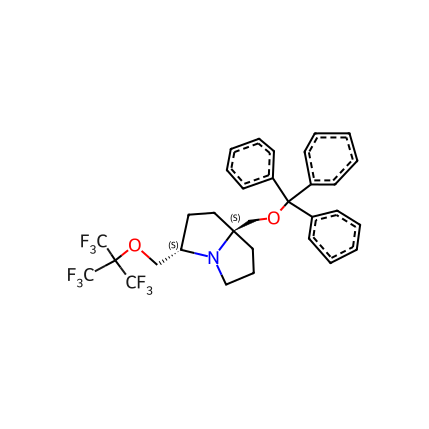 FC(F)(F)C(OC[C@@H]1CC[C@]2(COC(c3ccccc3)(c3ccccc3)c3ccccc3)CCCN12)(C(F)(F)F)C(F)(F)F